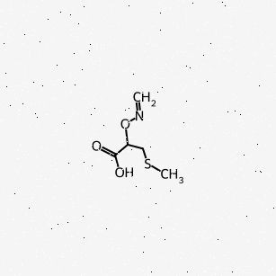 C=NOC(CSC)C(=O)O